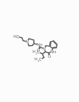 CCC(C)C1C(=O)Nc2ccccc2CN1C(=O)NC1CCN(CCO)CC1